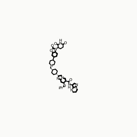 CC(C)Oc1cc2nc([C@H]3CC[C@H](CN4CCC(c5ccc6c(c5)oc(=O)n6C5CCC(=O)NC5=O)CC4)CC3)cn2cc1C(=O)Nc1cnn2cccnc12